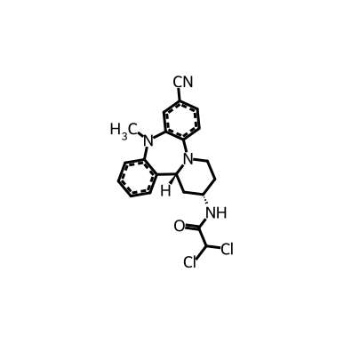 CN1c2ccccc2[C@H]2C[C@@H](NC(=O)C(Cl)Cl)CCN2c2ccc(C#N)cc21